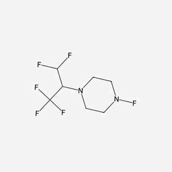 FC(F)C(N1CCN(F)CC1)C(F)(F)F